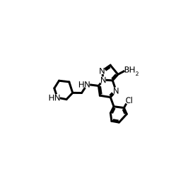 Bc1cnn2c(NCC3CCCNC3)cc(-c3ccccc3Cl)nc12